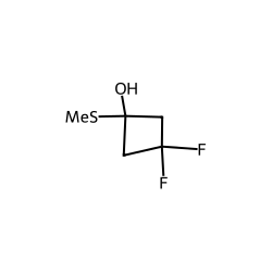 CSC1(O)CC(F)(F)C1